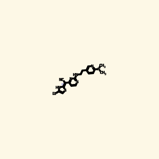 CCC1=CS/C(=C(/C#N)c2ccnc(NCCc3ccc(N(C)C)nc3)n2)N1